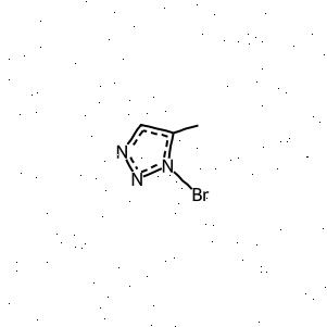 Cc1cnnn1Br